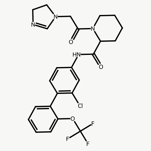 O=C(Nc1ccc(-c2ccccc2OC(F)(F)F)c(Cl)c1)C1CCCCN1C(=O)CN1C=NCC1